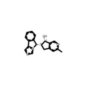 Cc1cc2c(cn1)[C@@H](O)[C@@H](C1c3ccccc3-c3cncn31)C2